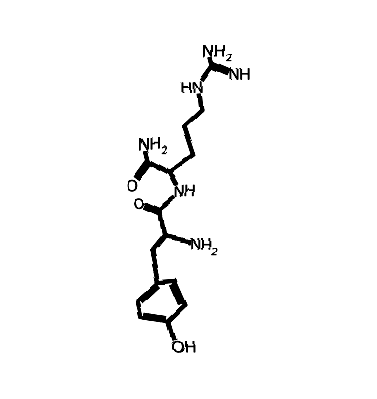 N=C(N)NCCCC(NC(=O)C(N)Cc1ccc(O)cc1)C(N)=O